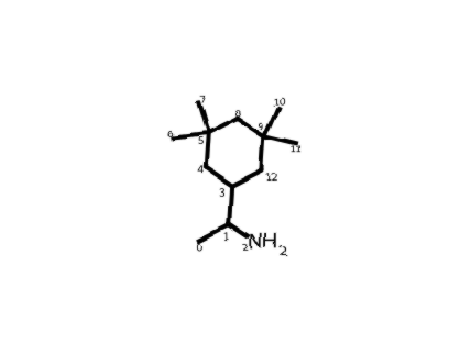 CC(N)C1CC(C)(C)CC(C)(C)C1